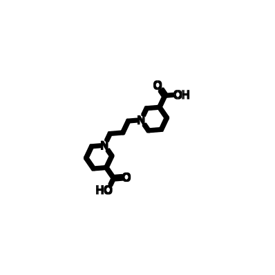 O=C(O)C1CCCN(CCCN2CCCC(C(=O)O)C2)C1